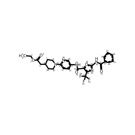 CCOC(=O)CC1CCN(c2ccc(NC(=O)c3oc(NC(=O)c4ccccc4)nc3C(F)(F)F)cn2)CC1